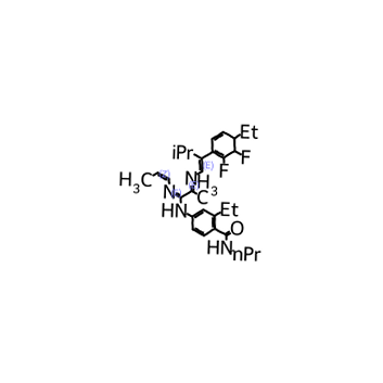 C\C=C/N=C(Nc1ccc(C(=O)NCCC)c(CC)c1)\C(C)=N\C=C(\C1=C(F)C(F)C(CC)C=C1)C(C)C